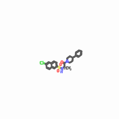 C[C@H](NS(=O)(=O)c1ccc2cc(Cl)ccc2c1)C(=O)N1CCC(c2ccccc2)CC1